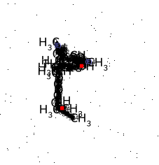 C/C=C/C1=CN2C(=O)c3cc(OC)c(OCCCOc4cc5c(cc4OC)C(=O)N4C=C(/C=C/C)C[C@H]4[C@H](O)N5C(=O)OCc4ccc(NC(=O)[C@H](C)NC(=O)[C@@H](NC(=O)CCOCCOCCOCCOCCNC(=O)CSC(C)(CCCC)CCCCCCCCCC)C(C)C)cc4)cc3N=C[C@@H]2C1